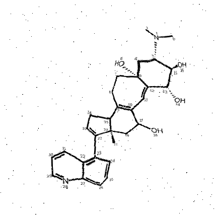 CN(C)[C@H]1C[C@]2(O)CCC3=C(C=C2[C@@H](O)[C@@H]1O)C(O)C[C@]1(C)C(c2cccc4ncccc24)=CCC31